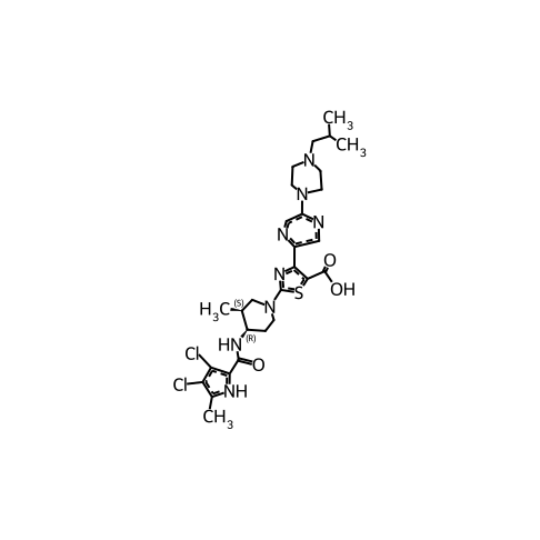 Cc1[nH]c(C(=O)N[C@@H]2CCN(c3nc(-c4cnc(N5CCN(CC(C)C)CC5)cn4)c(C(=O)O)s3)C[C@@H]2C)c(Cl)c1Cl